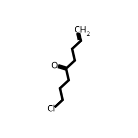 C=CCCC(=O)CCCCl